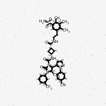 Cc1c(CCNC(=O)[C@H]2C[C@@H](NC(=O)n3c(-c4ccnn4-c4ccc(C#N)cc4)c(C)n(-c4cccc(C(F)(F)F)c4)c3=O)C2)cc(S(N)(=O)=O)c(C)c1C